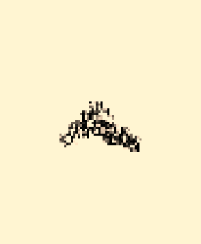 C=C(C)[C@@H]1CC[C@]2(NC(=O)C(=O)NC3CCCCC3)CC[C@]3(C)[C@H](CC[C@@H]4[C@@]5(C)CC=C(c6ccc(C(=O)O)cc6)C(C)(C)[C@@H]5CC[C@]43C)[C@@H]12